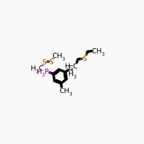 CCSCC.CSSC.Cc1cc(C)cc(P)c1